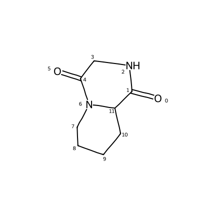 O=C1NCC(=O)N2CCCCC12